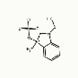 CON1C[N+](C)(OS(C)(=O)=O)c2ccccc21